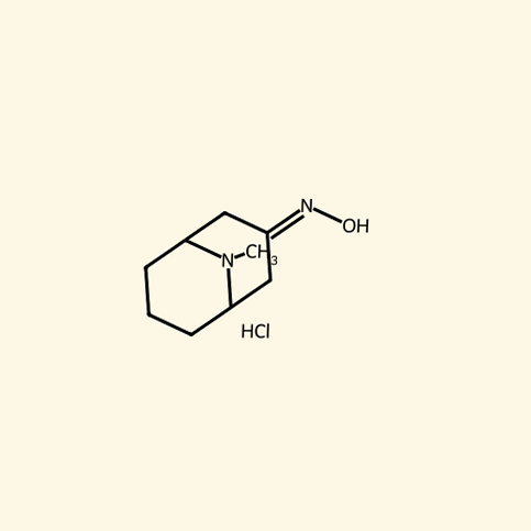 CN1C2CCCC1CC(=NO)C2.Cl